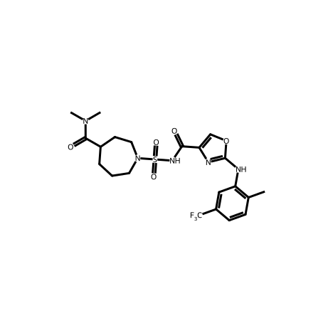 Cc1ccc(C(F)(F)F)cc1Nc1nc(C(=O)NS(=O)(=O)N2CCCC(C(=O)N(C)C)CC2)co1